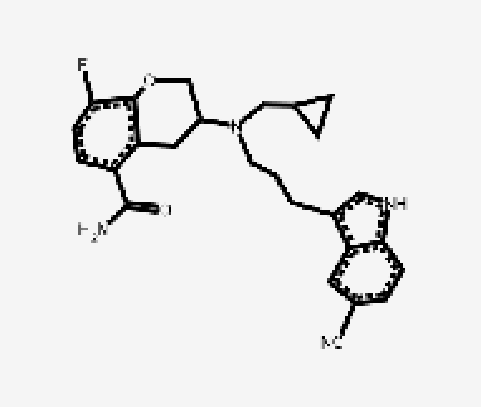 N#Cc1ccc2[nH]cc(CCCN(CC3CC3)C3COc4c(F)ccc(C(N)=O)c4C3)c2c1